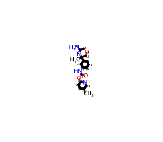 Cc1ccc(OC(=O)Nc2cccc(C3(C)COCC(N)=N3)c2)nc1